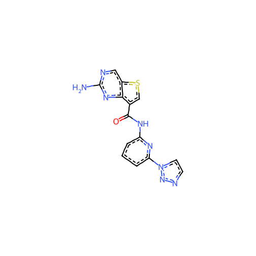 Nc1ncc2scc(C(=O)Nc3cccc(-n4ccnn4)n3)c2n1